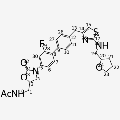 CC(=O)NCC1CN(c2ccc(-c3ccc(Cc4csc(NCC5CCCO5)n4)cc3)c(F)c2)C(=O)O1